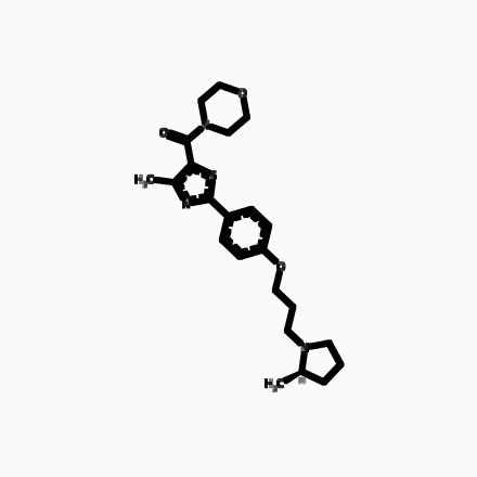 Cc1nc(-c2ccc(OCCCN3CCC[C@H]3C)cc2)sc1C(=O)N1CCOCC1